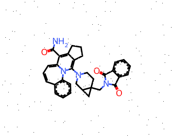 NC(=O)C1=C2CCCC2=C(N2CCC3(CN4C(=O)c5ccccc5C4=O)CC3C2)N2C1=CC=Cc1ccccc12